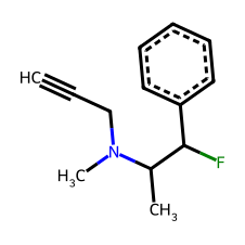 C#CCN(C)C(C)C(F)c1ccccc1